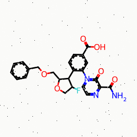 NC(=O)c1nccn(-c2cc(C(=O)O)ccc2C2C(F)COC2COCc2ccccc2)c1=O